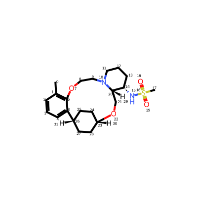 Cc1cccc2c1OCCN1CCC[C@H](NS(C)(=O)=O)[C@@H]1CO[C@H]1CC[C@@H]2CC1